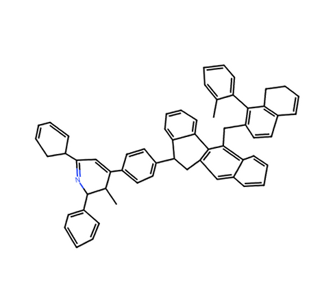 Cc1ccccc1-c1c(Cc2c3c(cc4ccccc24)CC(c2ccc(C4=CC(C5C=CC=CC5)=NC(c5ccccc5)C4C)cc2)c2ccccc2-3)ccc2c1CCC=C2